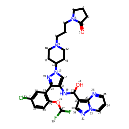 O=C1CCCN1CCCN1CCC(n2cc(NC(O)c3cnn4cccnc34)c(-c3cc(Cl)ccc3OC(F)F)n2)CC1